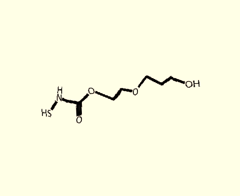 O=C(NS)OCCOCCCO